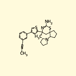 CC#Cc1cccc(-c2csc(C3(C)CC4(CCCC4N4CCCC4)SC(N)=N3)c2)c1